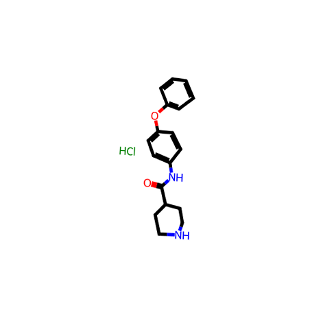 Cl.O=C(Nc1ccc(Oc2ccccc2)cc1)C1CCNCC1